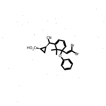 CC1(C)C(C(C#N)[C@H]2C[C@H]2C(=O)O)=CC=CC1(C=C(Br)Br)Oc1ccccc1